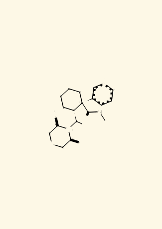 CNC(=S)[C@@]1(c2cccnc2)CCCC[C@@H]1C(C)N1C(=O)COCC1=O